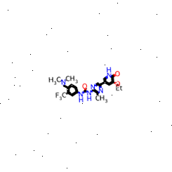 CCOc1cc(-c2cnc(NC(=O)Nc3ccc(CN(C)C)c(C(F)(F)F)c3)c(C)n2)c[nH]c1=O